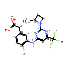 C[C@H]1CCN1c1nc(Nc2cc(CC(=O)O)ccc2F)cc(C(F)(F)F)n1